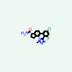 Cn1nnc(-c2c(F)cc(Cl)cc2-c2ccc3c(c2)CC[C@@H]3C(N)=O)n1